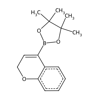 CC1(C)OB(C2=CCOc3ccccc32)OC1(C)C